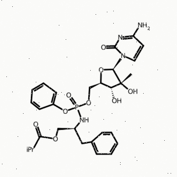 CC(C)C(=O)OC[C@H](Cc1ccccc1)NP(=O)(OC[C@H]1O[C@@H](n2ccc(N)nc2=O)[C@](C)(O)[C@@H]1O)Oc1ccccc1